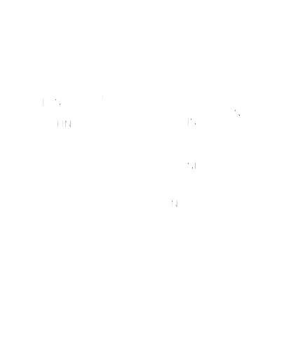 C1CNCCN1.CC1CN(c2ccccc2)C(Cc2ccc(C(=O)NN)cc2)C(C)N1